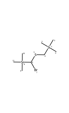 C[Si](C)(C)CSC(Br)[Si](C)(C)C